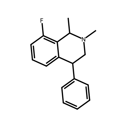 CC1c2c(F)cccc2C(c2ccccc2)CN1C